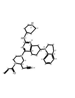 C=CC(=O)N1CCN(c2nc(NC3CCNCC3)nc3c2CCC(N2CCCc4ccccc42)C3)CC1CC#N